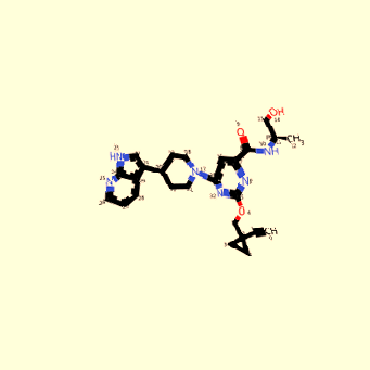 C#CC1(COc2nc(C(=O)N[C@H](C)CO)cc(N3CCC(c4c[nH]c5ncccc45)CC3)n2)CC1